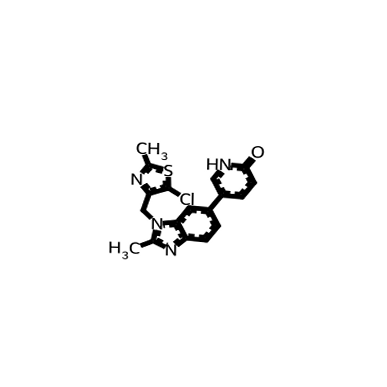 Cc1nc(Cn2c(C)nc3ccc(-c4ccc(=O)[nH]c4)cc32)c(Cl)s1